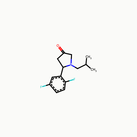 C[C](C)CN1CC(=O)CC1c1cc(F)ccc1F